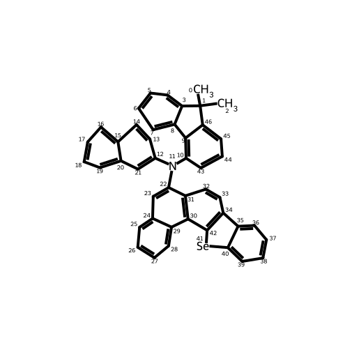 CC1(C)c2ccccc2-c2c(N(c3ccc4ccccc4c3)c3cc4ccccc4c4c3ccc3c5ccccc5[se]c34)cccc21